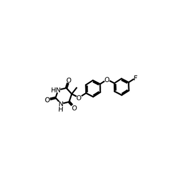 CC1(Oc2ccc(Oc3cccc(F)c3)cc2)C(=O)NC(=O)NC1=O